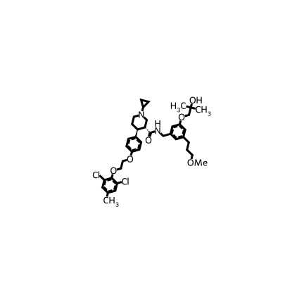 COCCCc1cc(CNC(=O)[C@H]2CN(C3CC3)CC[C@@H]2c2ccc(OCCOc3c(Cl)cc(C)cc3Cl)cc2)cc(OCC(C)(C)O)c1